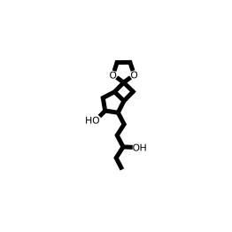 CCC(O)CCC1C(O)CC2C1CC21OCCO1